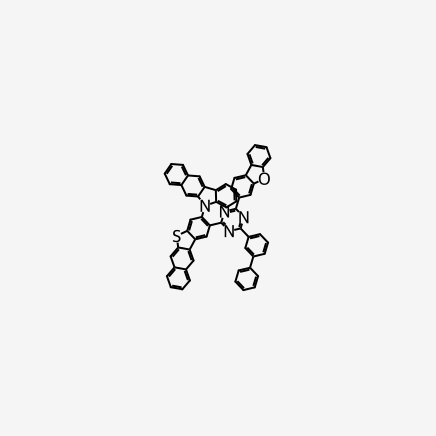 c1ccc(-c2cccc(-c3nc(-c4ccc5c(c4)oc4ccccc45)nc(-c4cc5c(cc4-n4c6ccccc6c6cc7ccccc7cc64)sc4cc6ccccc6cc45)n3)c2)cc1